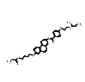 C=CC(=O)OCCCCOc1ccc2c(ccc3cc(SC(=O)c4ccc(OCCOC(O)C=C)cc4)ccc32)c1